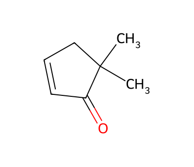 CC1(C)CC=CC1=O